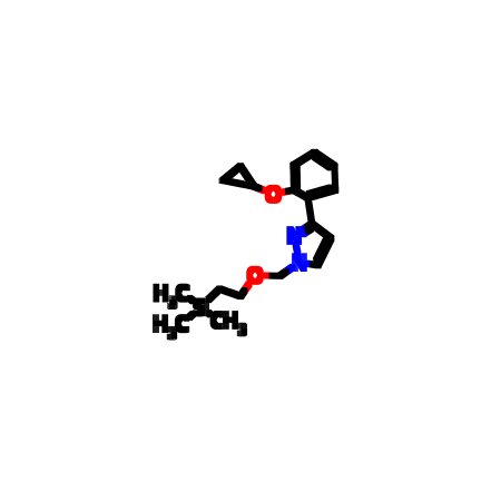 C[Si](C)(C)CCOCn1ccc(-c2ccccc2OC2CC2)n1